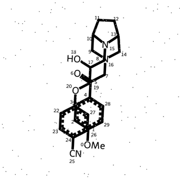 COc1ccc(C(=O)CN2CC3CCC(C2)N3CC(O)COc2ccc(C#N)cc2)cc1